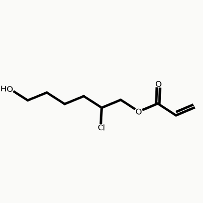 C=CC(=O)OCC(Cl)CCCCO